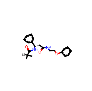 CCC(C)(C)C(=O)N[C@@H](CC(=O)NCCOc1ccccc1)c1ccccc1